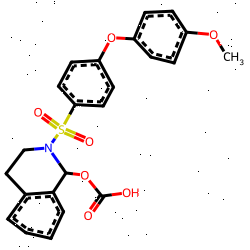 COc1ccc(Oc2ccc(S(=O)(=O)N3CCc4ccccc4C3OC(=O)O)cc2)cc1